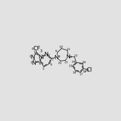 FC(F)(F)c1nnc2ccc(N3CCCN(Cc4cccc(Cl)c4)CC3)nn12